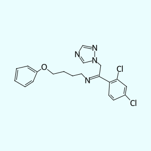 Clc1ccc(C(Cn2cncn2)=NCCCCOc2ccccc2)c(Cl)c1